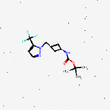 CC(C)(C)OC(=O)N[C@H]1C[C@@H](Cn2nccc2C(F)(F)F)C1